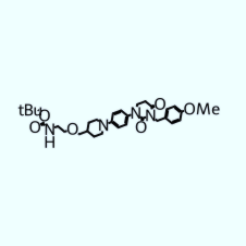 COc1ccc(CN2C(=O)CCN(c3ccc(N4CCC(COCCNC(=O)OC(C)(C)C)CC4)cc3)C2=O)cc1